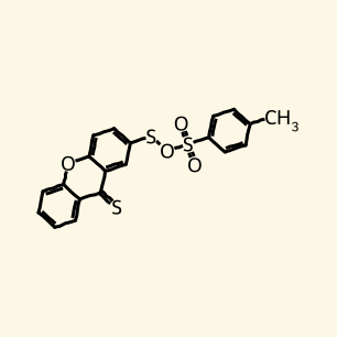 Cc1ccc(S(=O)(=O)OSc2ccc3oc4ccccc4c(=S)c3c2)cc1